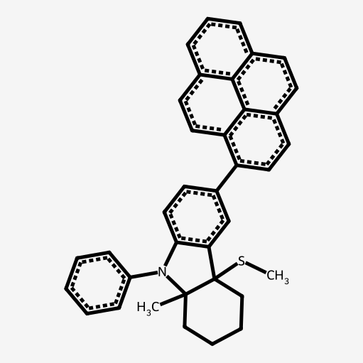 CSC12CCCCC1(C)N(c1ccccc1)c1ccc(-c3ccc4ccc5cccc6ccc3c4c56)cc12